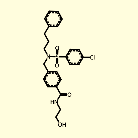 O=C(NCCO)c1ccc(CN(CCCc2ccccc2)S(=O)(=O)c2ccc(Cl)cc2)cc1